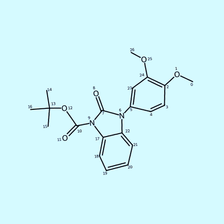 COc1ccc(-n2c(=O)n(C(=O)OC(C)(C)C)c3ccccc32)cc1OC